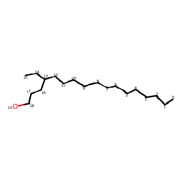 CCCCCCCCCCCCCC(CC)CCC[O]